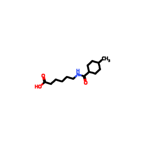 CC1CCC(C(=O)NCCCCCC(=O)O)CC1